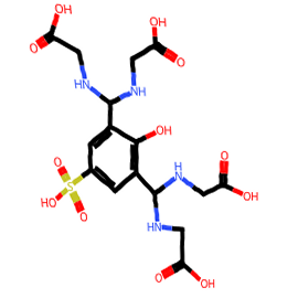 O=C(O)CNC(NCC(=O)O)c1cc(S(=O)(=O)O)cc(C(NCC(=O)O)NCC(=O)O)c1O